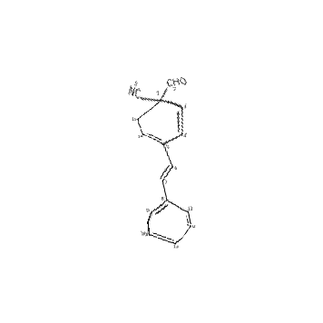 N#CC1(C=O)C=CC(C=Cc2ccccc2)=CC1